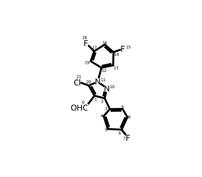 O=Cc1c(-c2ccc(F)cc2)nn(-c2cc(F)cc(F)c2)c1Cl